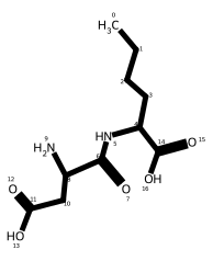 CCCCC(NC(=O)C(N)CC(=O)O)C(=O)O